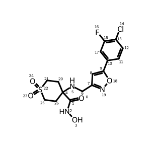 O=C(NO)C1(NCc2cc(-c3ccc(Cl)c(F)c3)on2)CCS(=O)(=O)CC1